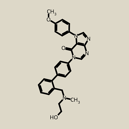 COc1ccc(-n2cnc3ncn(-c4ccc(-c5ccccc5CN(C)CCO)cc4)c(=O)c32)cc1